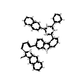 Cc1c(/C=C\C=C\c2ccc3c(c2)oc2cccc(-c4nc(-c5ccccc5)nc(-c5ccc6ccccc6c5)n4)c23)oc2cc3ccccc3cc12